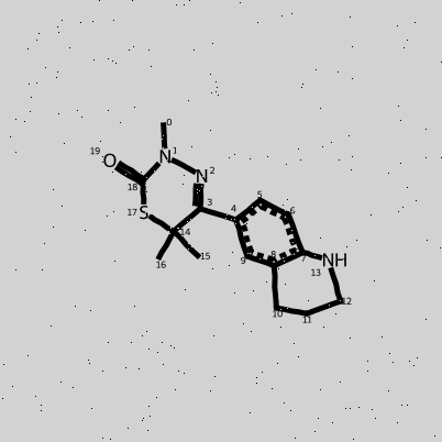 CN1N=C(c2ccc3c(c2)CCCN3)C(C)(C)SC1=O